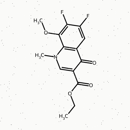 CCOC(=O)c1cn(C)c2c(OC)c(F)c(F)cc2c1=O